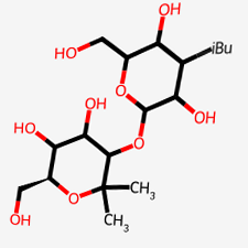 CCC(C)C1C(O)C(CO)OC(OC2C(O)C(O)[C@H](CO)OC2(C)C)C1O